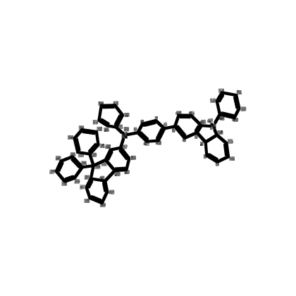 C1=CC2c3cc(-c4ccc(N(c5ccccc5)c5ccc6c(c5)C(c5ccccc5)(c5ccccc5)c5ccccc5-6)cc4)ccc3N(c3ccccc3)C2C=C1